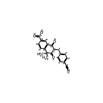 CC1(C)C(=O)N(Cc2ccc(C#N)cc2)C(=O)c2cc([N+](=O)[O-])ccc21